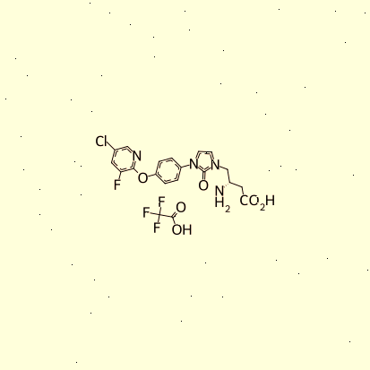 N[C@@H](CC(=O)O)Cn1ccn(-c2ccc(Oc3ncc(Cl)cc3F)cc2)c1=O.O=C(O)C(F)(F)F